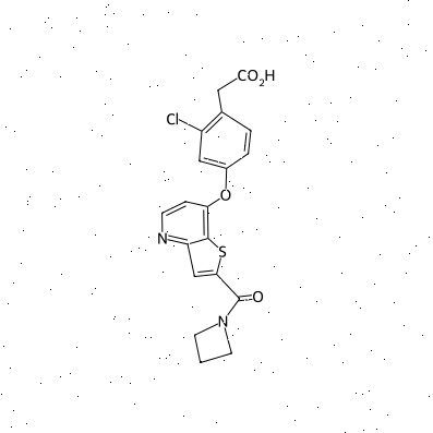 O=C(O)Cc1ccc(Oc2ccnc3cc(C(=O)N4CCC4)sc23)cc1Cl